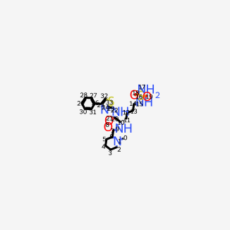 CN1CCCCC1C(=O)N[C@@H](CCCCNS(N)(=O)=O)C(=O)Nc1nc(-c2ccccc2)cs1